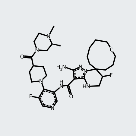 C[C@H]1CN(C(=O)C2CCN(c3c(F)cncc3NC(=O)c3c(N)nn4c3NCC(F)C43CCCCCCCCC3)CC2)CCN1C